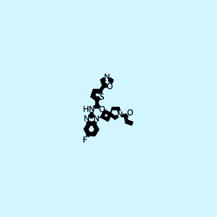 C=CC(=O)N1CC[C@]2(C1)C[C@@H](n1c(NC(=O)c3ccc(-c4cnco4)s3)nc3cc(F)ccc31)C2